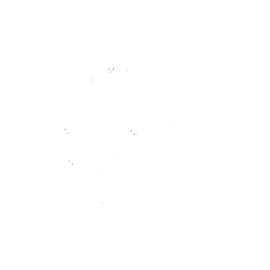 COc1ccc(Cl)c(NS(=O)(=O)c2c(OCC(F)(F)F)ncnc2OCC(F)(F)F)c1